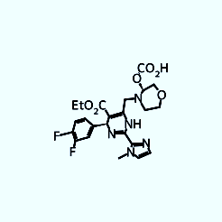 CCOC(=O)C1=C(CN2CCOC[C@@H]2OC(=O)O)NC(c2nccn2C)=N[C@H]1c1ccc(F)c(F)c1